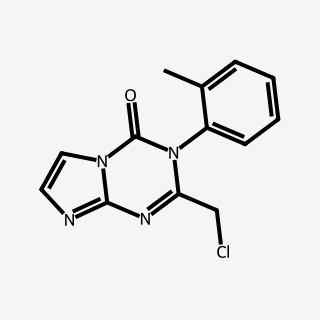 Cc1ccccc1-n1c(CCl)nc2nccn2c1=O